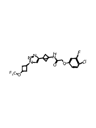 O=C(COc1ccc(Cl)c(F)c1)NC12CC(c3cn(C4CC(OC(F)(F)F)C4)nn3)(C1)C2